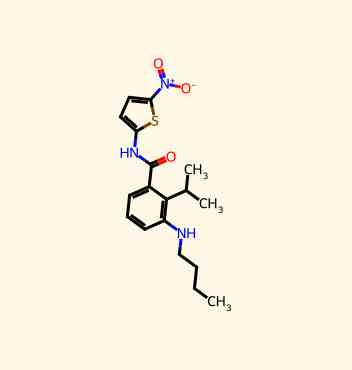 CCCCNc1cccc(C(=O)Nc2ccc([N+](=O)[O-])s2)c1C(C)C